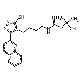 CC(C)(C)OC(=O)NCCCCn1c(S)nnc1-c1ccc2ccccc2c1